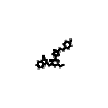 CCCCC(Cc1c[nH]c2ccccc12)NC(=O)c1cnc(CCN2CCN(C)CC2)s1